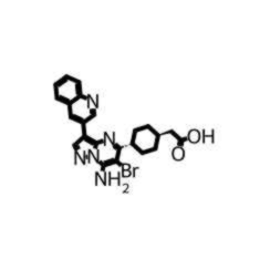 Nc1c(Br)c([C@H]2CC[C@H](CC(=O)O)CC2)nc2c(-c3cnc4ccccc4c3)cnn12